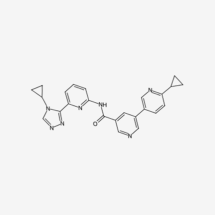 O=C(Nc1cccc(-c2nncn2C2CC2)n1)c1cncc(-c2ccc(C3CC3)nc2)c1